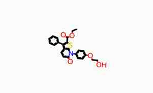 CCOC(=O)c1sc2c(ccc(=O)n2-c2ccc(OCCO)cc2)c1-c1ccccc1